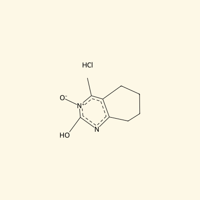 Cc1c2c(nc(O)[n+]1[O-])CCCC2.Cl